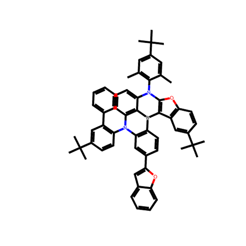 Cc1cc(C(C)(C)C)cc(C)c1N1c2cccc3c2B(c2ccc(-c4cc5ccccc5o4)cc2N3c2ccc(C(C)(C)C)cc2-c2ccccc2)c2c1oc1ccc(C(C)(C)C)cc21